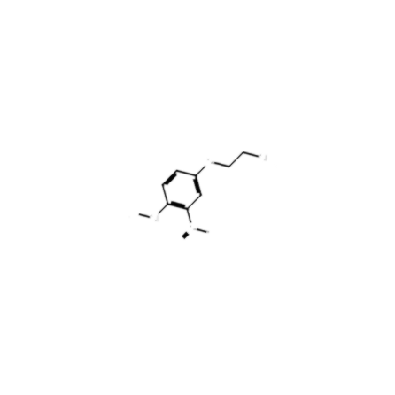 CNc1ccc(NCCN)cc1[N+](=O)[O-]